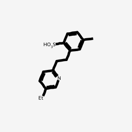 CCc1ccc(CCc2cc(C)ccc2S(=O)(=O)O)nc1